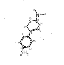 CN(C)C1=NN=C(c2ccc(N)cc2)CS1